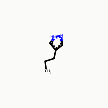 CC[CH]c1cn[nH]c1